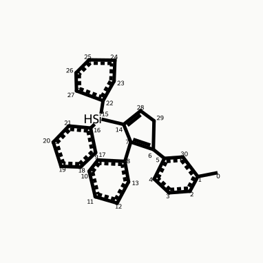 Cc1cccc(C2=C(c3ccccc3)C([SiH](c3ccccc3)c3ccccc3)=CC2)c1